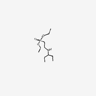 CCOP(=O)(CCNC(CC)CC)OCC